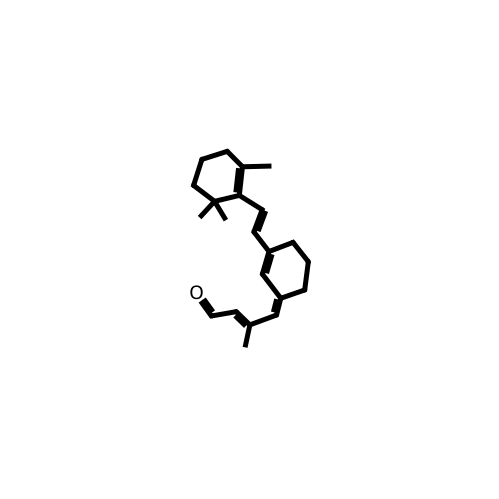 CC(=CC=O)C=C1C=C(C=CC2=C(C)CCCC2(C)C)CCC1